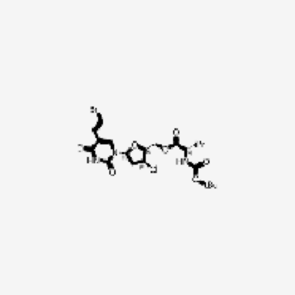 CC(C)[C@H](NC(=O)OC(C)(C)C)C(=O)OC[C@H]1O[C@@H](n2cc(C=CBr)c(=O)[nH]c2=O)C[C@@H]1Cl